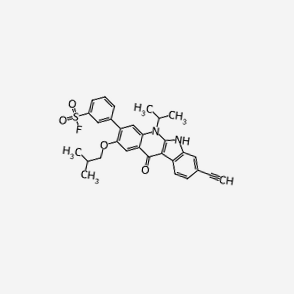 C#Cc1ccc2c(c1)[nH]c1c2c(=O)c2cc(OCC(C)C)c(-c3cccc(S(=O)(=O)F)c3)cc2n1C(C)C